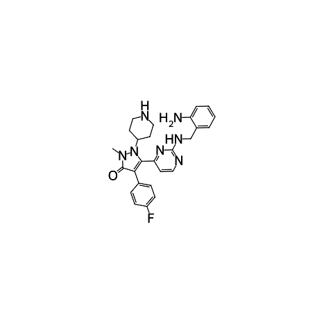 Cn1c(=O)c(-c2ccc(F)cc2)c(-c2ccnc(NCc3ccccc3N)n2)n1C1CCNCC1